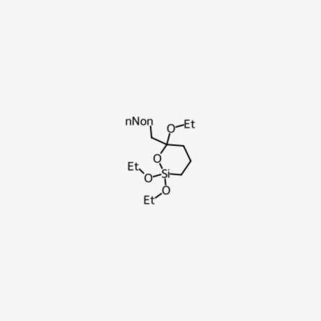 CCCCCCCCCCC1(OCC)CCC[Si](OCC)(OCC)O1